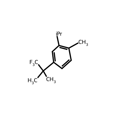 Cc1ccc(C(C)(C)C(F)(F)F)cc1C(C)C